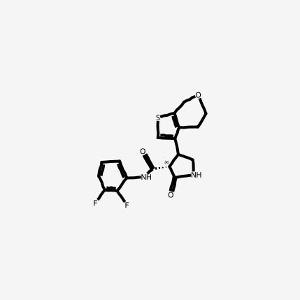 O=C1NCC(c2csc3c2CCOC3)[C@H]1C(=O)Nc1cccc(F)c1F